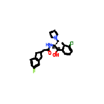 CC1C(Cl)=CC=CC1[C@@H](O)[C@@H](CN1CCCC1)NC(=O)CC1Cc2ccc(F)cc2C1